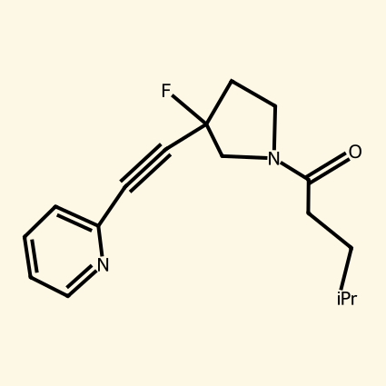 CC(C)CCC(=O)N1CCC(F)(C#Cc2ccccn2)C1